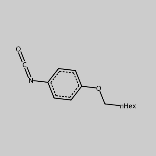 CCCCCCCOc1ccc(N=C=O)cc1